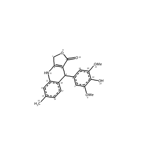 COc1cc(C2C3=C(COC3=O)Nc3cc(C)ccc32)cc(OC)c1O